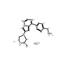 C[C@@H]1CN(c2cc3c(-c4ccc(CN)cc4)ncnn3c2)C[C@@H](C)O1.Cl